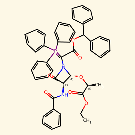 CCOC(=O)[C@H](C)O[C@@H]1[C@@H](NC(=O)c2ccccc2)C(=O)N1C(C(=O)OC(c1ccccc1)c1ccccc1)=P(c1ccccc1)(c1ccccc1)c1ccccc1